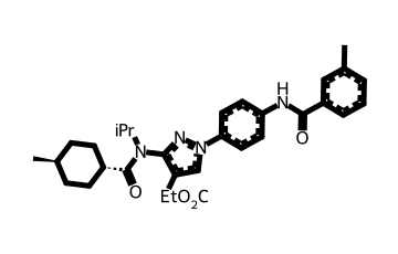 CCOC(=O)c1cn(-c2ccc(NC(=O)c3cccc(C)c3)cc2)nc1N(C(=O)[C@H]1CC[C@H](C)CC1)C(C)C